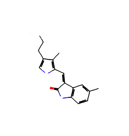 Cc1ccc2c(c1)/C(=C/c1[nH]cc(CCC(=O)O)c1C)C(=O)N2